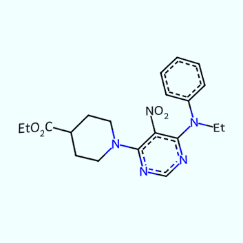 CCOC(=O)C1CCN(c2ncnc(N(CC)c3ccccc3)c2[N+](=O)[O-])CC1